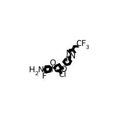 Nc1ccc(-n2cc(Cl)c(OC3CCN(c4ncc(CCC(F)(F)F)cn4)CC3)cc2=O)cc1F